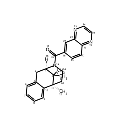 CC1(C)[C@H]2Cc3ccccc3[C@]1(C)CCN2C(=O)c1ccc2nccnc2c1